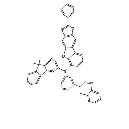 CC1(C)c2ccccc2-c2cc(N(c3cccc(-c4ccc5ccccc5c4)c3)c3cccc4c3oc3cc5nc(-c6ccccc6)oc5cc34)ccc21